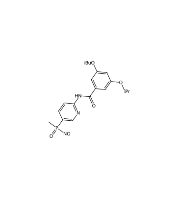 CC(C)COc1cc(OC(C)C)cc(C(=O)Nc2ccc(P(C)(=O)N=O)cn2)c1